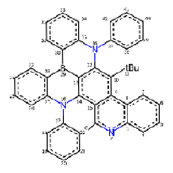 Cc1nc2ccccc2c2c(C(C)(C)C)c3c4c(c12)N(c1ccccc1)c1ccccc1B4c1ccccc1N3c1ccccc1